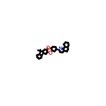 CC1(C)c2ccccc2-c2cc3c(cc21)Oc1ccc(-c2ccc4ccc5ccccc5c4n2)cc1O3